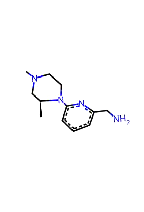 C[C@H]1CN(C)CCN1c1cccc(CN)n1